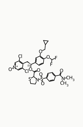 CN(C)C(=O)c1ccc(S(=O)(=O)N2CCSC2C(=O)O[C@@H](Cc2c(Cl)c[n+]([O-])cc2Cl)c2ccc(OC(F)F)c(OCC3CC3)c2)cc1